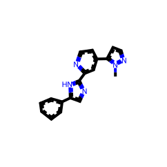 Cn1nccc1-c1ccnc(-c2ncc(-c3ccccc3)[nH]2)c1